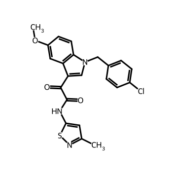 COc1ccc2c(c1)c(C(=O)C(=O)Nc1cc(C)ns1)cn2Cc1ccc(Cl)cc1